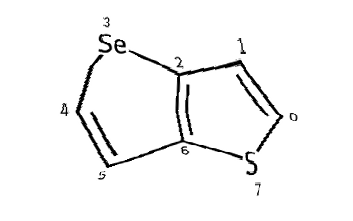 c1cc2[se]ccc2s1